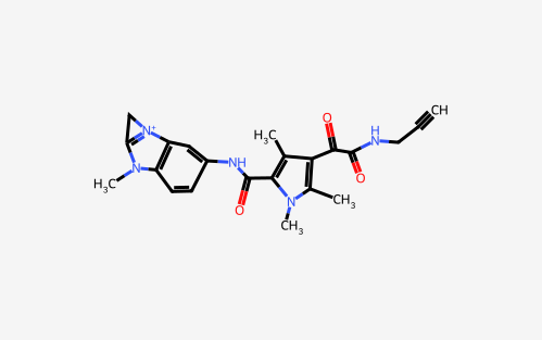 C#CCNC(=O)C(=O)c1c(C)c(C(=O)Nc2ccc3c(c2)[n+]2c(n3C)C2)n(C)c1C